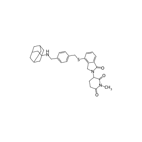 CN1C(=O)CCC(N2Cc3c(SCc4ccc(CNC56CC7CC(CC(C7)C5)C6)cc4)cccc3C2=O)C1=O